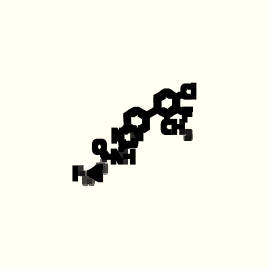 Cc1c(-c2ccc3nc(NC(=O)[C@@H]4C[C@@H]4F)cn3c2)ccc(Cl)c1F